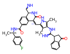 Cc1[nH]c(/C=C2\C(=O)NC(C=N)c3ccc(C(=O)N[C@H](C)c4ccc(F)cc4)cc32)c(C)c1NC(=N)C1CC(=O)c2ccccc21